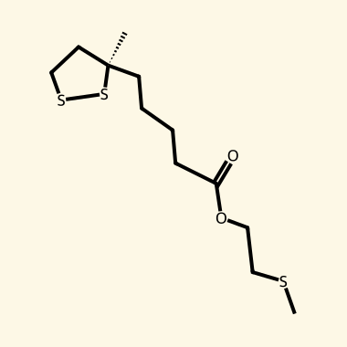 CSCCOC(=O)CCCC[C@]1(C)CCSS1